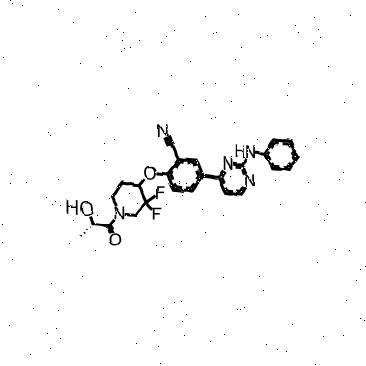 C[C@H](O)C(=O)N1CCC(Oc2ccc(-c3ccnc(Nc4ccccc4)n3)cc2C#N)C(F)(F)C1